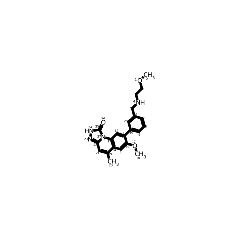 COCCNCc1cccc(-c2cc3c(cc2OC)c(C)cc2n[nH]c(=O)n23)c1